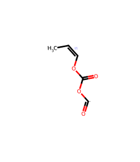 C/C=C\OC(=O)O[C]=O